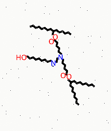 CCCCCCCCC(CCCCCC)COC(=O)CCCCCN(CCCCCC(=O)OCC(CCCCCCCC)CCCCCCCC)CCN(C)CCCCCCCCCO